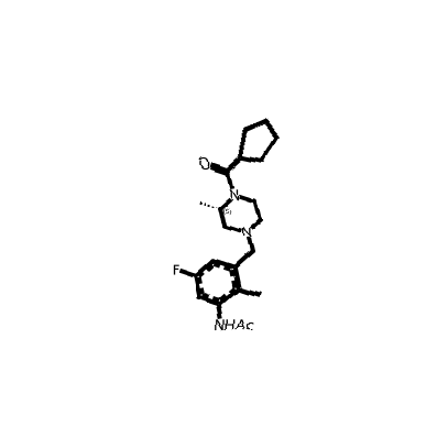 CC(=O)Nc1cc(F)cc(CN2CCN(C(=O)C3CCCC3)[C@@H](C)C2)c1C